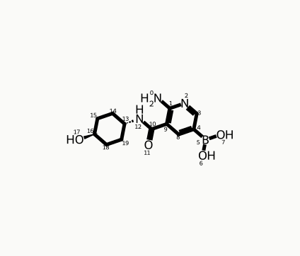 Nc1ncc(B(O)O)cc1C(=O)N[C@H]1CC[C@H](O)CC1